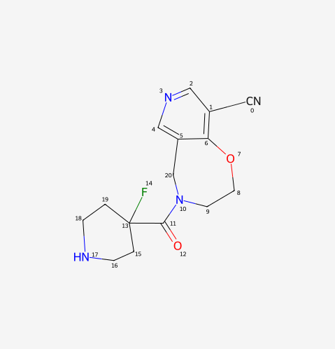 N#Cc1cncc2c1OCCN(C(=O)C1(F)CCNCC1)C2